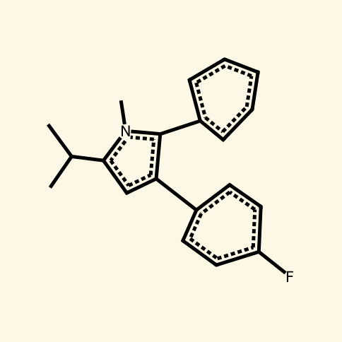 CC(C)c1cc(-c2ccc(F)cc2)c(-c2ccccc2)n1C